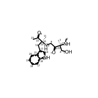 CN[C@@](C)(CO)C(=O)CN[C@@](C)(Cc1c[nH]c2ccccc12)C(C)=O